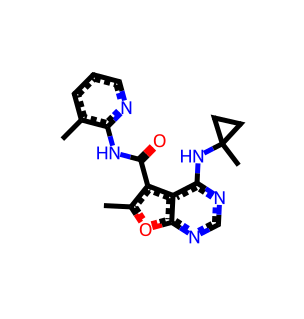 Cc1cccnc1NC(=O)c1c(C)oc2ncnc(NC3(C)CC3)c12